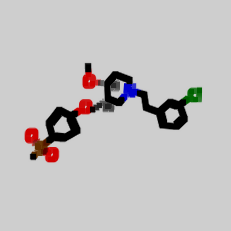 CO[C@@H]1CCN(CCc2cccc(Cl)c2)C[C@@H]1COc1ccc(S(C)(=O)=O)cc1